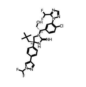 CC(C)(C)C[C@@]1(c2ccc(-c3cnn(C(F)F)c3)cc2)CN([C@H](CO)c2ccc(Cl)c(-n3ncnc3C(F)F)c2)C(=N)N1